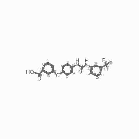 O=C(Nc1ccc(Oc2ccnc(C(=O)O)c2)cc1)Nc1cccc(C(F)(F)F)c1